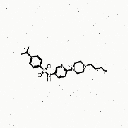 CC(C)c1ccc(S(=O)(=O)Nc2ccc(N3CCN(CCCF)CC3)nc2)cc1